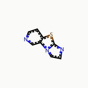 c1cc2sc3nccn3c2cn1